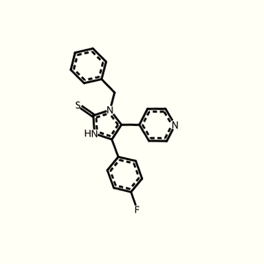 Fc1ccc(-c2[nH]c(=S)n(Cc3ccccc3)c2-c2ccncc2)cc1